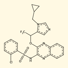 O=S(=O)(Nc1nc2ccccc2nc1OC(c1cncn1CC1CC1)C(F)(F)F)c1ccccc1Cl